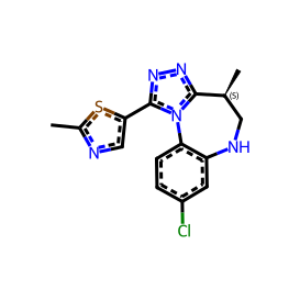 Cc1ncc(-c2nnc3n2-c2ccc(Cl)cc2NC[C@@H]3C)s1